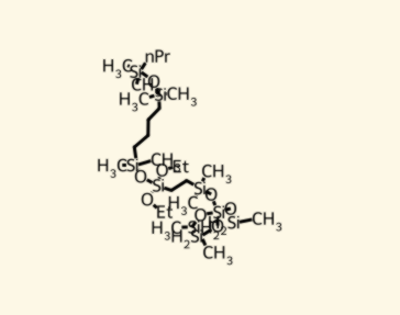 CCC[Si](C)(C)O[Si](C)(C)CCCC[Si](C)(C)O[Si](CC[Si](C)(C)O[Si](O[SiH2]C)(O[SiH2]C)O[SiH2]C)(OCC)OCC